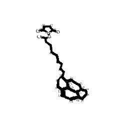 O=C(CCCCCCCCc1ccc2ccc3cccc4ccc1c2c34)ON1C(=O)CCC1=O